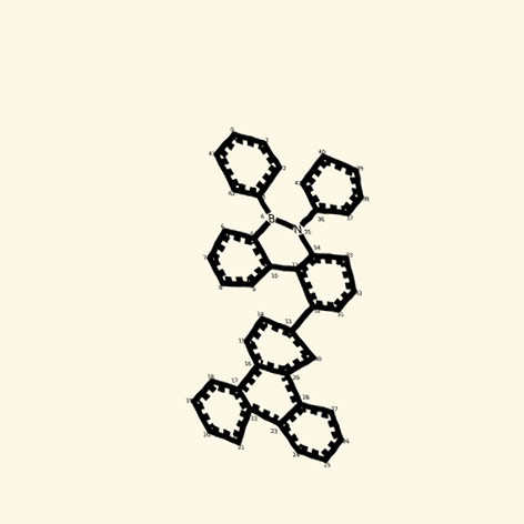 c1ccc(B2c3ccccc3-c3c(-c4ccc5c6ccccc6c6ccccc6c5c4)cccc3N2c2ccccc2)cc1